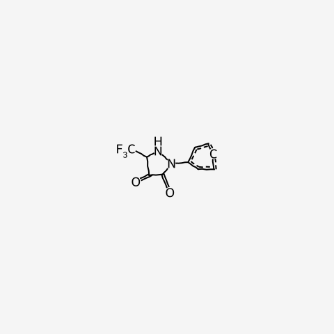 O=C1C(=O)N(c2ccccc2)NC1C(F)(F)F